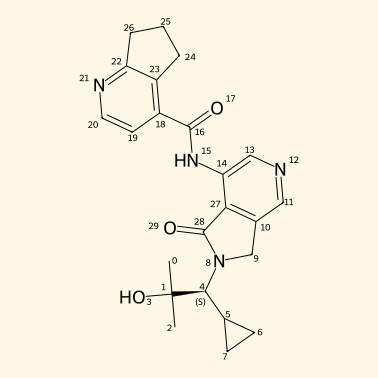 CC(C)(O)[C@H](C1CC1)N1Cc2cncc(NC(=O)c3ccnc4c3CCC4)c2C1=O